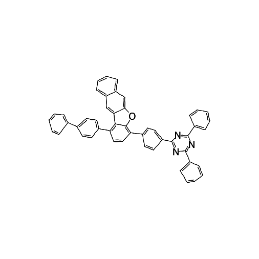 c1ccc(-c2ccc(-c3ccc(-c4ccc(-c5nc(-c6ccccc6)nc(-c6ccccc6)n5)cc4)c4oc5cc6ccccc6cc5c34)cc2)cc1